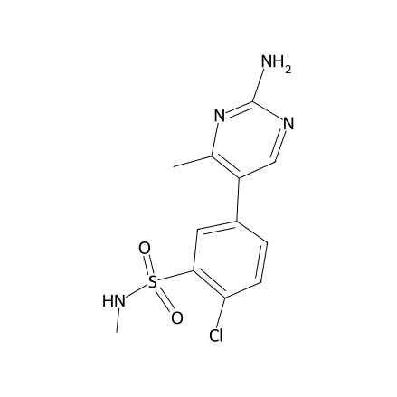 CNS(=O)(=O)c1cc(-c2cnc(N)nc2C)ccc1Cl